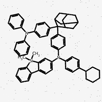 C[Si]1(C)c2ccccc2-c2ccc(N(c3ccc(C4CCCCC4)cc3)c3ccc(C4(c5ccc(N(c6ccccc6)c6ccccc6)cc5)C5CC6CC(C5)CC4C6)cc3)cc21